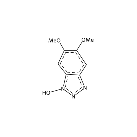 COc1cc2nnn(O)c2cc1OC